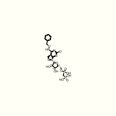 O=P(O)(O)CP(=O)(O)OC[C@H]1O[C@@H](n2ncc3c(NOCc4ccccc4)nc(Cl)nc32)[C@H](O)[C@@H]1O